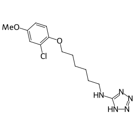 COc1ccc(OCCCCCCNc2nnn[nH]2)c(Cl)c1